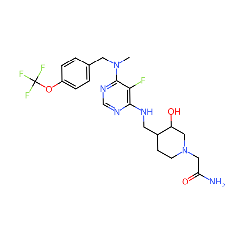 CN(Cc1ccc(OC(F)(F)F)cc1)c1ncnc(NCC2CCN(CC(N)=O)CC2O)c1F